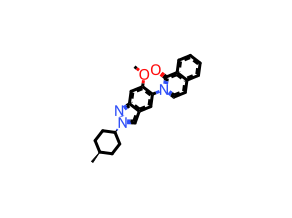 COc1cc2nn([C@H]3CC[C@H](C)CC3)cc2cc1-n1ccc2ccccc2c1=O